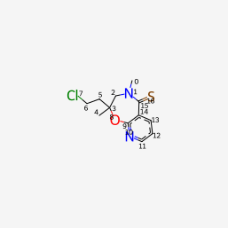 CN1CC(C)(CCCl)Oc2ncccc2C1=S